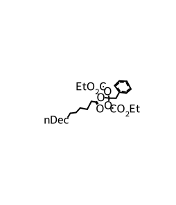 CCCCCCCCCCCCCCCC(=O)OC(Cc1ccccc1)(OC(=O)OCC)OC(=O)OCC